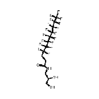 O=C(CCC(F)(F)C(F)(F)C(F)(F)C(F)(F)C(F)(F)C(F)(F)C(F)(F)C(F)(F)F)NCC(O)CO